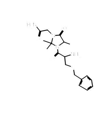 CC1C(=O)N(CC(N)=O)C(C)(C)N1C(=O)C(N)COCc1ccccc1